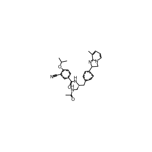 CC(=O)NC[C@H](Cc1ccc(C2CN3C=CC=C(C)C3=N2)cc1)NC(=O)c1ccc(OC(C)C)c(C#N)c1